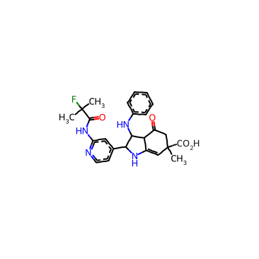 CC(C)(F)C(=O)Nc1cc(C2NC3=CC(C)(C(=O)O)CC(=O)C3C2Nc2ccccc2)ccn1